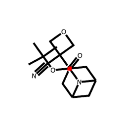 CC(C)(C)OC(=O)N1C2CC1CN(C1(C#N)COC1)C2